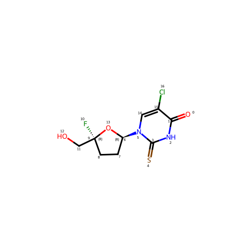 O=c1[nH]c(=S)n([C@H]2CC[C@@](F)(CO)O2)cc1Cl